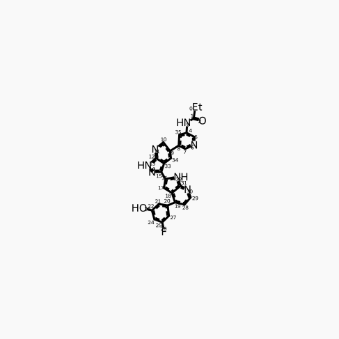 CCC(=O)Nc1cncc(-c2cnc3[nH]nc(-c4cc5c(-c6cc(O)cc(F)c6)ccnc5[nH]4)c3c2)c1